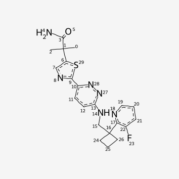 CC(C)(C(N)=O)c1cnc(-c2ccc(NCC3(c4ncccc4F)CCC3)nn2)s1